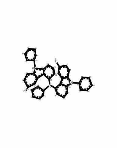 Fc1ccc2c(c1)c1c(N(c3ccccc3)c3cccc4c3c3cc(F)ccc3n4-c3ccccc3)cccc1n2-c1ccccc1